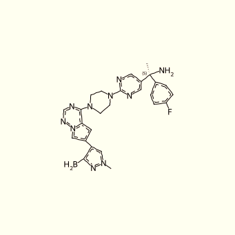 Bc1nn(C)cc1-c1cc2c(N3CCN(c4ncc([C@@](C)(N)c5ccc(F)cc5)cn4)CC3)ncnn2c1